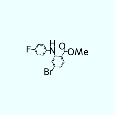 COC(=O)c1ccc(Br)cc1Nc1ccc(F)cc1